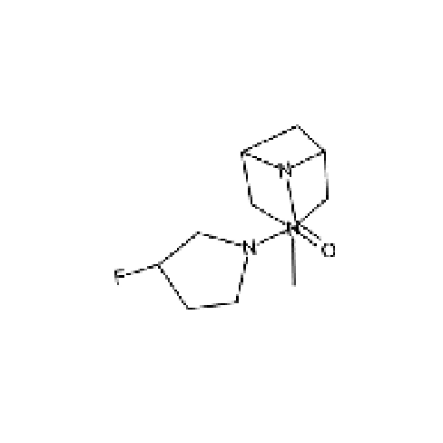 CN1CC2CC(C1)N2C(=O)N1CCC(F)C1